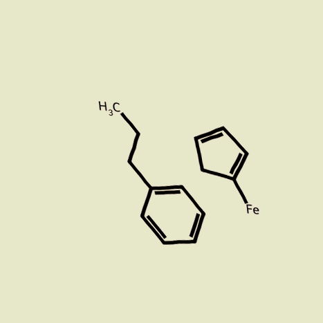 CCCc1ccccc1.[Fe][C]1=CC=CC1